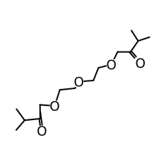 CC(C)C(=O)COCCOCCOCC(=O)C(C)C